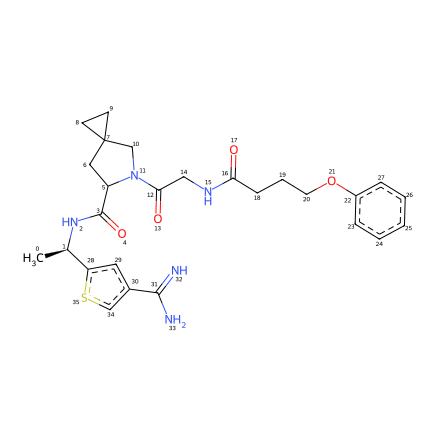 C[C@@H](NC(=O)C1CC2(CC2)CN1C(=O)CNC(=O)CCCOc1ccccc1)c1cc(C(=N)N)cs1